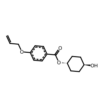 C=CCOc1ccc(C(=O)O[C@H]2CC[C@H](O)CC2)cc1